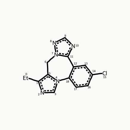 CCc1ncn2c1Cn1ncnc1-c1cc(Cl)ccc1-2